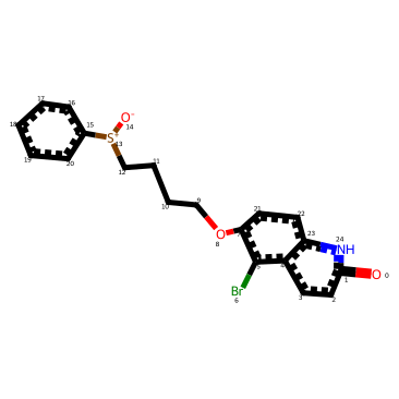 O=c1ccc2c(Br)c(OCCCC[S+]([O-])c3ccccc3)ccc2[nH]1